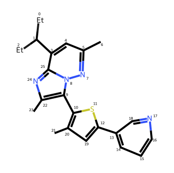 CCC(CC)c1cc(C)nn2c(-c3sc(-c4cccnc4)cc3C)c(C)nc12